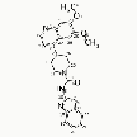 COc1cc2ncnc(C3CCN(C(=O)Nc4nc5ccccc5s4)CC3)c2cc1OC